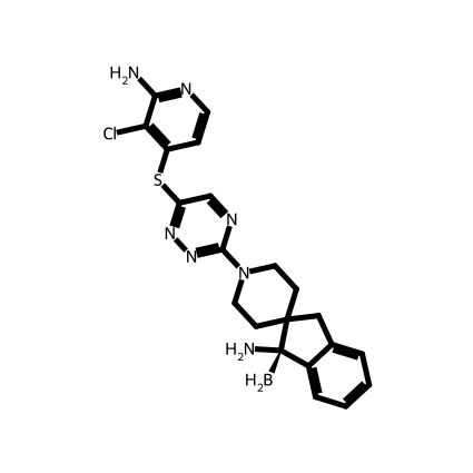 B[C@]1(N)c2ccccc2CC12CCN(c1ncc(Sc3ccnc(N)c3Cl)nn1)CC2